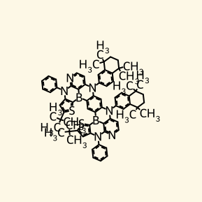 CC(C)(C)c1cc2c(s1)B1c3cc4c(cc3N(c3ccc5c(c3)C(C)(C)CCC5(C)C)c3ccnc(c31)N2c1ccccc1)N(c1ccc2c(c1)C(C)(C)CCC2(C)C)c1ccnc2c1B4c1sc(C(C)(C)C)cc1N2c1ccccc1